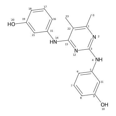 Cc1nc(Nc2cccc(O)c2)nc(Nc2cccc(O)c2)c1C